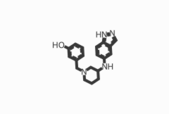 Oc1cccc(CN2CCCC(Nc3ccc4[nH]ncc4c3)C2)c1